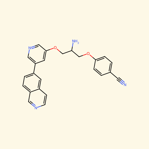 N#Cc1ccc(OCC(N)COc2cncc(-c3ccc4cnccc4c3)c2)cc1